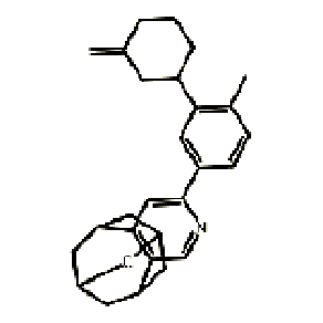 C=C1CCCC(c2cc(-c3cc4c(cn3)C3CC5CC(C3)CC4C5)ccc2C)C1